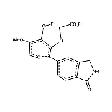 CCOC(=O)COc1c(-c2ccc3c(c2)CNC3=O)ccc(OC)c1OCC